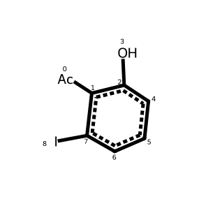 CC(=O)c1c(O)cccc1I